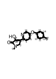 CN1CC(c2ccc(Oc3ccc(F)cc3)cn2)=C(O)C1=O